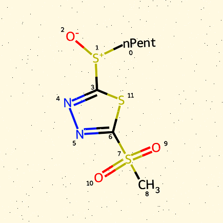 CCCCC[S+]([O-])c1nnc(S(C)(=O)=O)s1